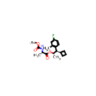 Cc1cc(F)ccc1[C@@H](C1CCC1)[C@H](C)OC(=O)[C@H](C)NC(=O)OC(C)(C)C